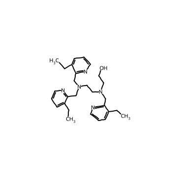 CCc1cccnc1CN(CCO)CCN(Cc1ncccc1CC)Cc1ncccc1CC